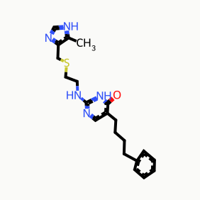 Cc1[nH]cnc1CSCCNc1ncc(CCCCc2ccccc2)c(=O)[nH]1